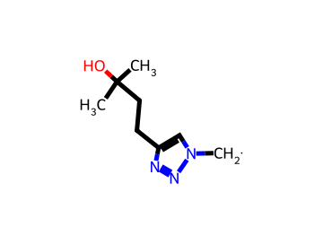 [CH2]n1cc(CCC(C)(C)O)nn1